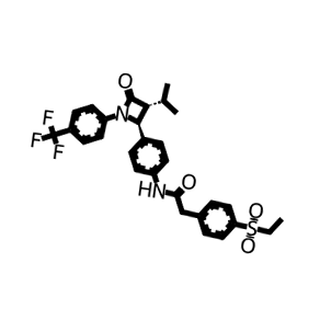 CCS(=O)(=O)c1ccc(CC(=O)Nc2ccc([C@@H]3[C@@H](C(C)C)C(=O)N3c3ccc(C(F)(F)F)cc3)cc2)cc1